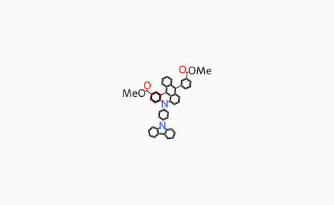 COC(=O)c1cccc(-c2c3ccccc3c(-c3cccc(C(=O)OC)c3)c3c(N(c4ccccc4)c4ccc(-n5c6ccccc6c6ccccc65)cc4)cccc23)c1